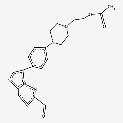 CC(=O)OCCN1CCN(c2ccc(-c3cnc4ccc(C=O)nn34)cc2)CC1